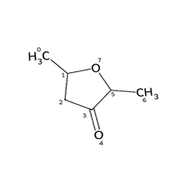 CC1CC(=O)C(C)O1